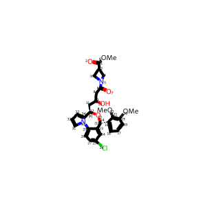 COC(=O)C1CN(C(=O)CC(O)C[C@H]2O[C@H](c3cccc(OC)c3OC)c3cc(Cl)ccc3-n3cccc32)C1